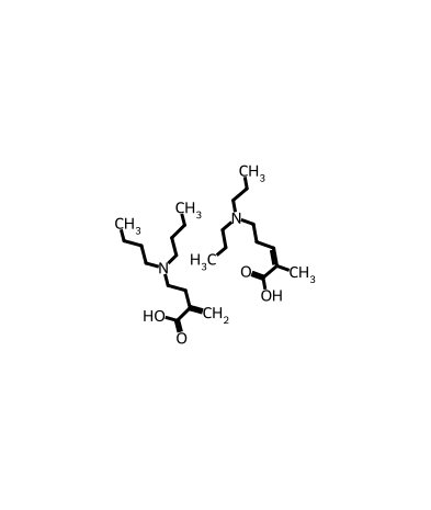 C=C(CCN(CCCC)CCCC)C(=O)O.CCCN(CCC)CCC=C(C)C(=O)O